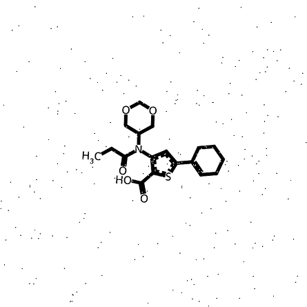 CCC(=O)N(c1cc(C2=CCCCC2)sc1C(=O)O)C1COCOC1